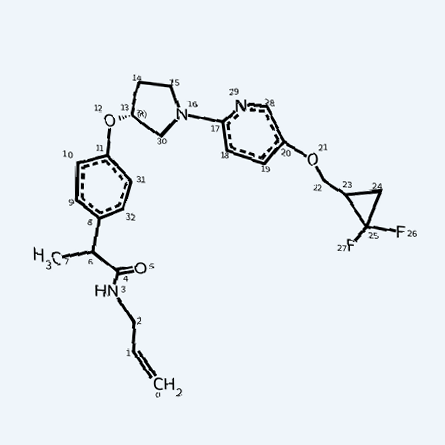 C=CCNC(=O)C(C)c1ccc(O[C@@H]2CCN(c3ccc(OCC4CC4(F)F)cn3)C2)cc1